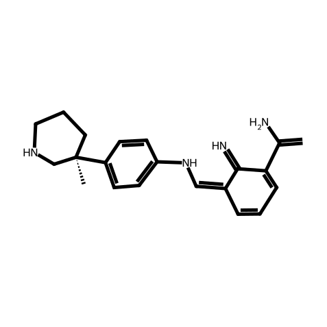 C=C(N)C1=CC=C/C(=C/Nc2ccc([C@]3(C)CCCNC3)cc2)C1=N